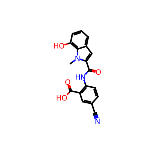 Cn1c(C(=O)Nc2ccc(C#N)cc2C(=O)O)cc2cccc(O)c21